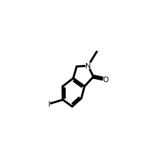 CN1Cc2cc(I)ccc2C1=O